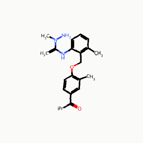 C=C(Nc1cccc(C)c1COc1ccc(C(=O)C(C)C)cc1C)N(C)N